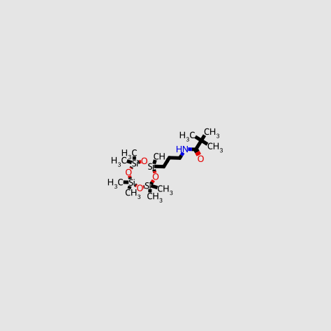 CC(C)(C)C(=O)NCCC[Si]1(C)O[Si](C)(C)O[Si](C)(C)O[Si](C)(C)O1